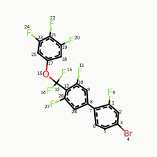 Fc1cc(Br)ccc1-c1cc(F)c(C(F)(F)Oc2cc(F)c(F)c(F)c2)c(F)c1